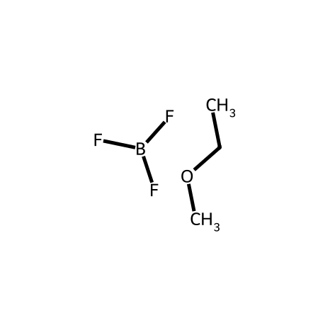 CCOC.FB(F)F